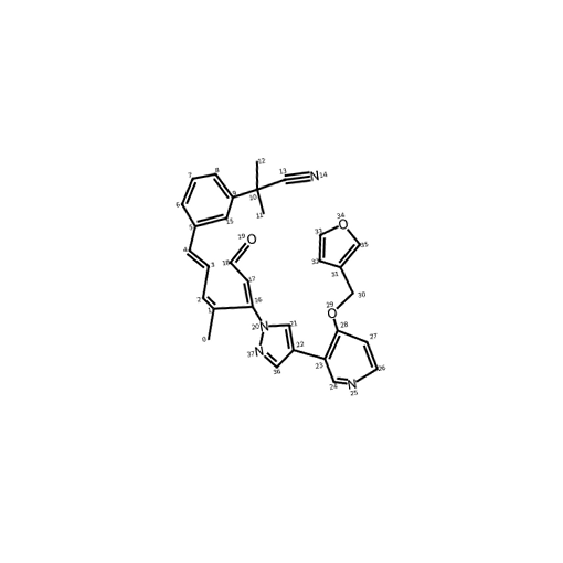 CC(=C/C=C/c1cccc(C(C)(C)C#N)c1)/C(=C\C=O)n1cc(-c2cnccc2OCc2ccoc2)cn1